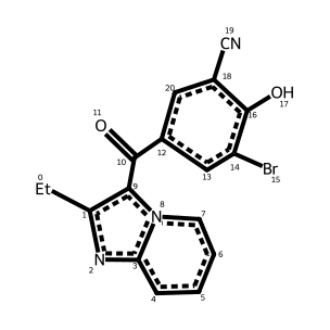 CCc1nc2ccccn2c1C(=O)c1cc(Br)c(O)c(C#N)c1